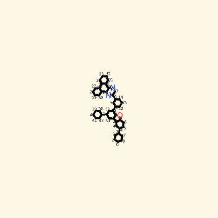 c1ccc(-c2ccc3oc4c(-c5cccc(-c6cnc7c8ccccc8c8ccccc8c7n6)c5)cc(-c5ccccc5)cc4c3c2)cc1